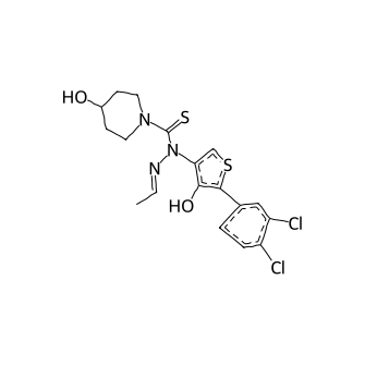 CC=NN(C(=S)N1CCC(O)CC1)c1csc(-c2ccc(Cl)c(Cl)c2)c1O